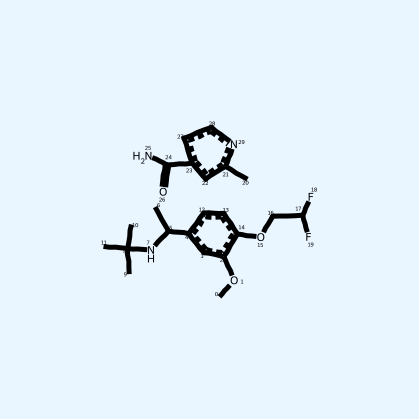 COc1cc(C(C)NC(C)(C)C)ccc1OCC(F)F.Cc1cc(C(N)=O)ccn1